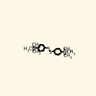 C[N+](C)(C)c1ccc(SSc2ccc([N+](C)(C)C)cc2)cc1